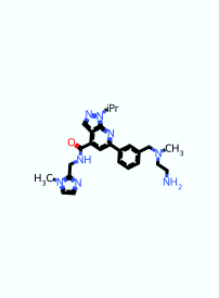 CC(C)n1ncc2c(C(=O)NCc3nccn3C)cc(-c3cccc(CN(C)CCN)c3)nc21